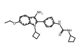 CCOc1ccc2c(N)c(-c3ccc(NC(=O)NC4CCC4)cc3)n(C3CCC3)c2c1